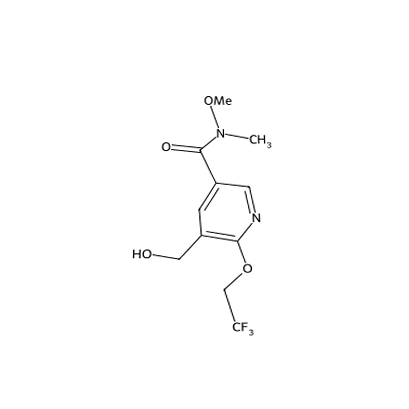 CON(C)C(=O)c1cnc(OCC(F)(F)F)c(CO)c1